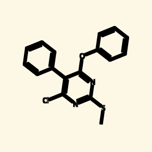 CSc1nc(Cl)c(-c2ccccc2)c(Oc2ccccc2)n1